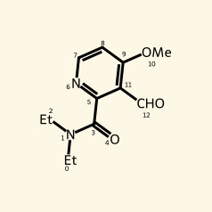 CCN(CC)C(=O)c1nccc(OC)c1C=O